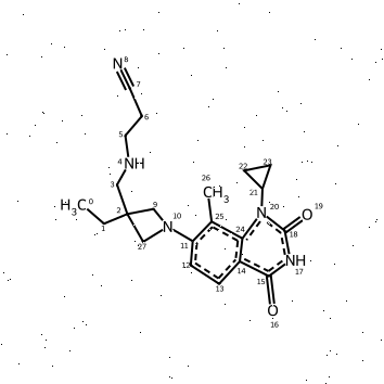 CCC1(CNCCC#N)CN(c2ccc3c(=O)[nH]c(=O)n(C4CC4)c3c2C)C1